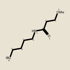 COCCC(=O)NCCCCC(C)(C)C